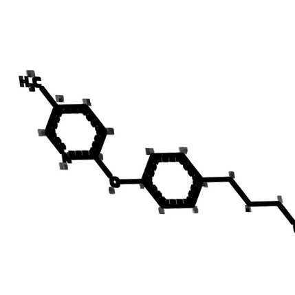 CCCCc1ccc(Oc2ccc(C)cn2)cc1